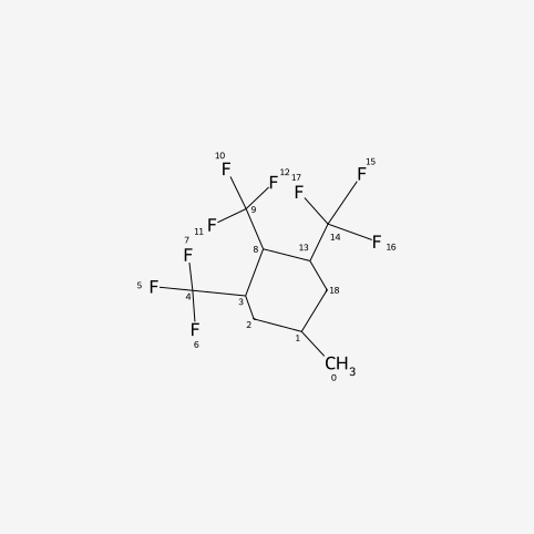 CC1CC(C(F)(F)F)C(C(F)(F)F)C(C(F)(F)F)C1